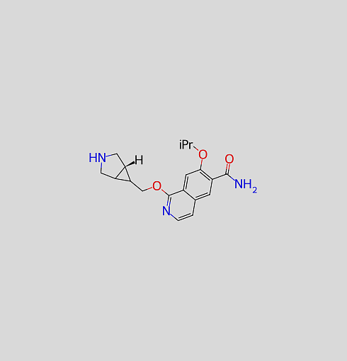 CC(C)Oc1cc2c(OCC3C4CNC[C@@H]43)nccc2cc1C(N)=O